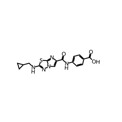 O=C(O)c1ccc(NC(=O)c2cn3nc(NCC4CC4)sc3n2)cc1